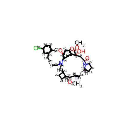 COC(=O)[C@]1(O)CC(=O)N2CCC[C@H]2C/C=C/[C@H](OC)[C@@H]2CC[C@H]2CN2CCCCc3cc(Cl)ccc3COc3ccc1cc32